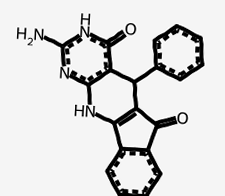 Nc1nc2c(c(=O)[nH]1)C(c1ccccc1)C1=C(N2)c2ccccc2C1=O